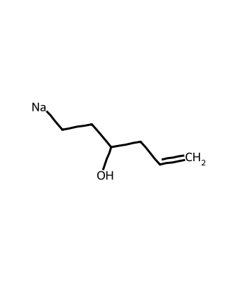 C=CCC(O)C[CH2][Na]